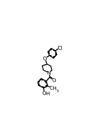 Cc1c(O)cccc1C(=O)N1CCC(Oc2ccc(Cl)cc2)CC1